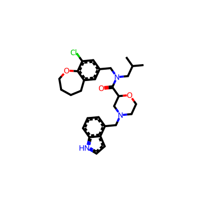 CC(C)CN(Cc1cc(Cl)c2c(c1)CCCCO2)C(=O)C1CN(Cc2cccc3[nH]ccc23)CCO1